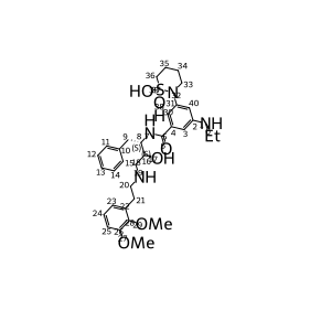 CCNc1cc(C(=O)N[C@@H](Cc2ccccc2)[C@@H](O)CNCCc2cccc(OC)c2OC)cc(N2CCCCS2(O)O)c1